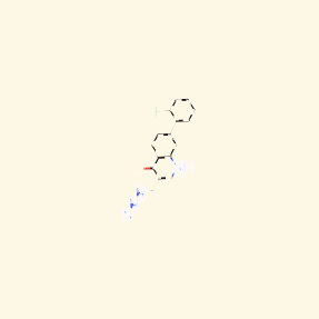 [N-]=[N+]=NCc1c[nH]c2cc(-c3ccccc3Cl)ccc2c1=O